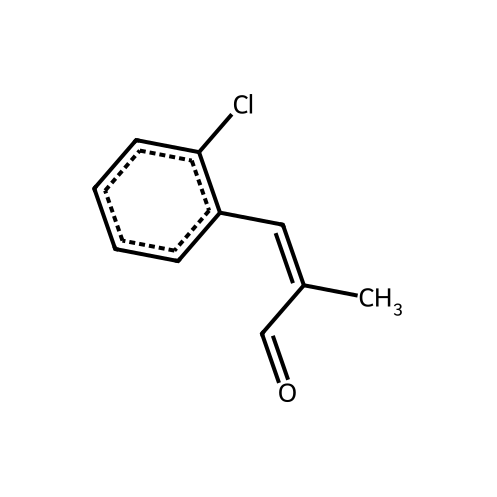 CC(C=O)=Cc1ccccc1Cl